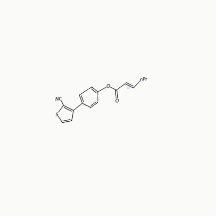 CCC/C=C/C(=O)Oc1ccc(-c2ccsc2C#N)cc1